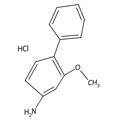 COc1cc(N)ccc1-c1ccccc1.Cl